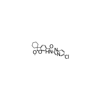 COC(=O)C1(c2ccc(C(=O)Nc3cn4cc(Cl)ccc4n3)cc2)CCCCC1